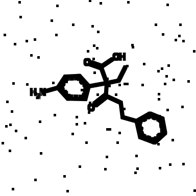 CCC(C(=O)O)(C(=O)CCc1ccccc1)c1ccc(N)cc1